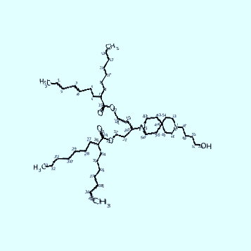 CCCCCCCC(CCCCCCC)C(=O)OCCC(CCOC(=O)C(CCCCCCC)CCCCCCC)N1CCC2(CCN(CCCCO)CC2)CC1